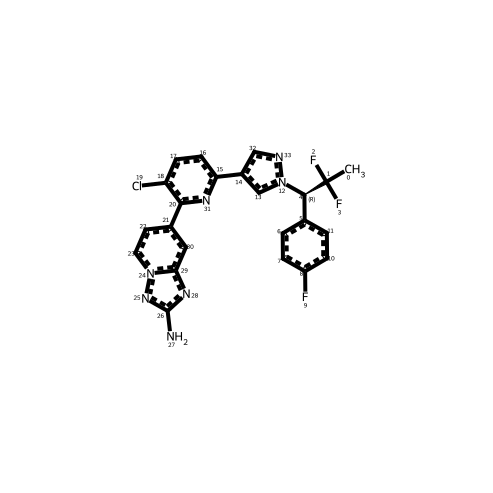 CC(F)(F)[C@@H](c1ccc(F)cc1)n1cc(-c2ccc(Cl)c(-c3ccn4nc(N)nc4c3)n2)cn1